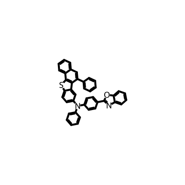 c1ccc(-c2cc3ccccc3c3sc4ccc(N(c5ccccc5)c5ccc(-c6nc7ccccc7o6)cc5)cc4c23)cc1